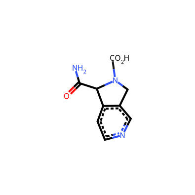 NC(=O)C1c2ccncc2CN1C(=O)O